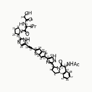 CC(=O)N[C@@H](C(=O)N1CCCC1c1nc(-c2cc3sc(C#Cc4cnc([C@@H]5CCCN5C(=O)[C@@H](NC(=O)CO)C(C)C)[nH]4)cc3s2)c[nH]1)c1ccccc1